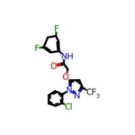 O=C(COc1cc(C(F)(F)F)nn1-c1ccccc1Cl)NC1=CC(F)CC(F)=C1